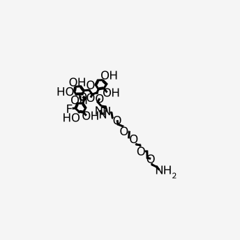 NCCOCCOCCOCCOCCOCCn1cc(COC2c3c(O)cc(O)cc3OC(c3cc(O)c(O)c(O)c3)C2OC(=O)c2cc(O)c(O)c(F)c2)nn1